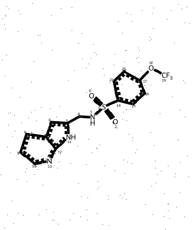 O=S(=O)(NCc1cc2cccnc2[nH]1)c1ccc(OC(F)(F)F)cc1